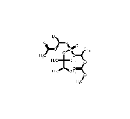 COC(=O)OC(C)OP(=O)(OC(C)OC(C)=O)OC(C)(C)C(C)C